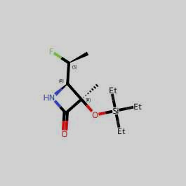 CC[Si](CC)(CC)O[C@@]1(C)C(=O)N[C@H]1[C@H](C)F